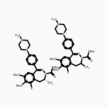 CNC(=O)N1N=C(c2ccc(N3CCN(C)CC3)cc2)c2cc(OC)c(OC)c(F)c2CC1C.CNC(=O)N1N=C(c2ccc(N3CCN(C)CC3)cc2)c2cc(OC)c(OC)c(F)c2C[C@H]1C